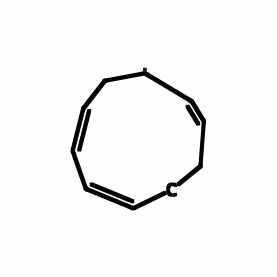 [CH]1/C=C\CC/C=C\C=C/C1